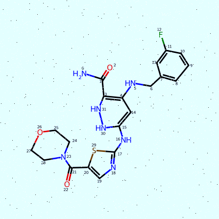 NC(=O)C1=C(NCc2cccc(F)c2)C=C(Nc2ncc(C(=O)N3CCOCC3)s2)NN1